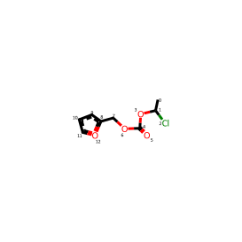 CC(Cl)OC(=O)OCc1ccco1